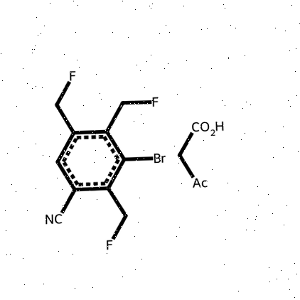 CC(=O)CC(=O)O.N#Cc1cc(CF)c(CF)c(Br)c1CF